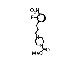 COC(=O)N1CCN(CCCc2cccc([N+](=O)[O-])c2F)CC1